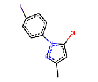 Cc1cc(O)n(-c2ccc(I)cc2)n1